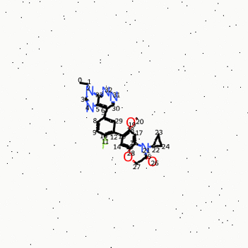 CCn1cnc2c(-c3ccc(F)c(-c4cc5c(cc4OC)N(C4CC4)C(=O)CO5)c3)cnnc21